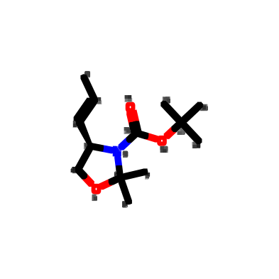 C/C=C/[C@@H]1COC(C)(C)N1C(=O)OC(C)(C)C